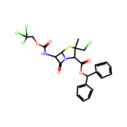 CC1(CCl)SC2C(NC(=O)OCC(Cl)(Cl)Cl)C(=O)N2C1C(=O)OC(c1ccccc1)c1ccccc1